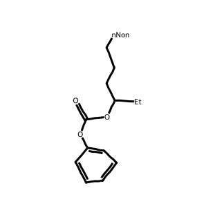 CCCCCCCCCCCCC(CC)OC(=O)Oc1ccccc1